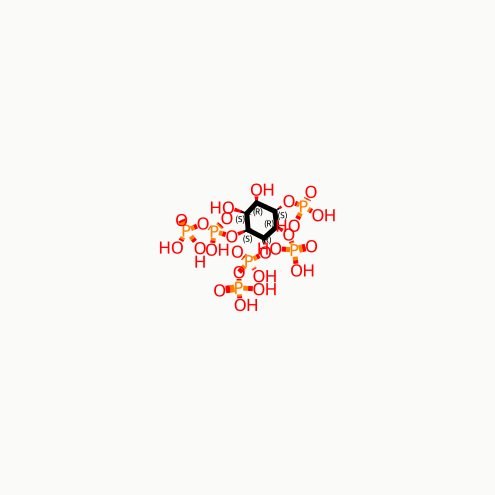 O=P(O)(O)O[C@H]1[C@H](OP(=O)(O)OP(=O)(O)O)[C@@H](OP(=O)(O)OP(=O)(O)O)[C@@H](O)[C@@H](O)[C@@H]1OP(=O)(O)O